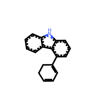 C1=CCCC(c2cccc3[nH]c4ccccc4c23)=C1